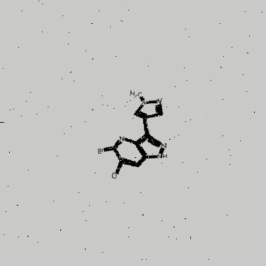 Cn1cc(-c2n[nH]c3cc(Cl)c(Br)nc23)cn1